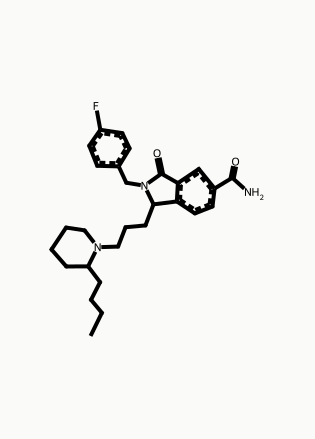 CCCCC1CCCCN1CCCC1c2ccc(C(N)=O)cc2C(=O)N1Cc1ccc(F)cc1